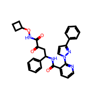 O=C(CC(NC(=O)c1cccnc1-n1ccc(-c2ccccc2)n1)c1ccccc1)C(=O)NOC1CCC1